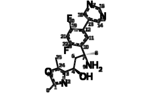 Cc1nc([C@H](O)C[C@](C)(N)c2cc(-c3cncnc3)c(F)cc2F)c(C)o1